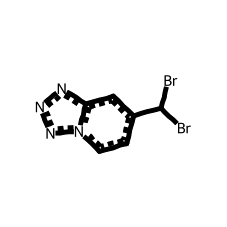 BrC(Br)c1ccn2nnnc2c1